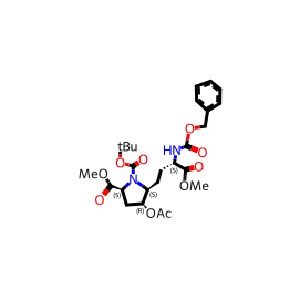 COC(=O)[C@H](CC[C@H]1[C@H](OC(C)=O)C[C@@H](C(=O)OC)N1C(=O)OC(C)(C)C)NC(=O)OCc1ccccc1